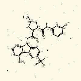 Nc1ncnc2c1c1cc(C(F)(F)F)ccc1n2CC(=O)N1C[C@@H](N)C[C@H]1C(=O)Nc1cccc(Br)n1